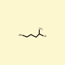 [CH2]C(C#N)CCCCCCC